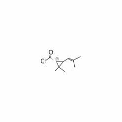 CC(C)=CC1[C@@H](C(=O)Cl)C1(C)C